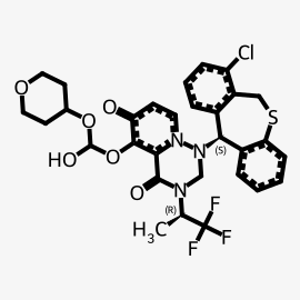 C[C@@H](N1CN([C@@H]2c3ccccc3SCc3c(Cl)cccc32)n2ccc(=O)c(OC(O)OC3CCOCC3)c2C1=O)C(F)(F)F